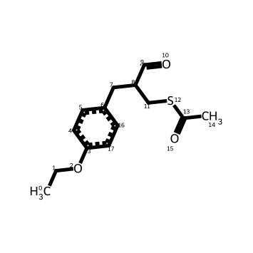 CCOc1ccc(CC([C]=O)CSC(C)=O)cc1